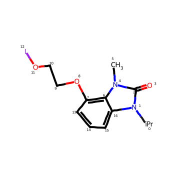 CC(C)n1c(=O)n(C)c2c(OCCOI)cccc21